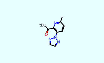 Cc1ccc(-n2nccn2)c(C(=O)C(C)(C)C)n1